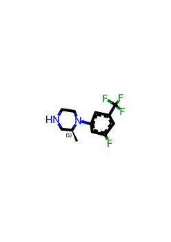 C[C@H]1CNCCN1c1cc(F)cc(C(F)(F)F)c1